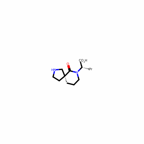 CC(C)[C@@H](C(=O)O)N1CCC[C@@]2(CCNC2)C1=O